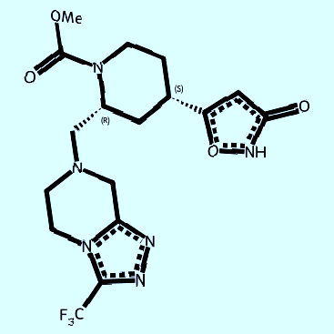 COC(=O)N1CC[C@H](c2cc(=O)[nH]o2)C[C@@H]1CN1CCn2c(nnc2C(F)(F)F)C1